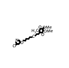 COC1=C(OC)C(=O)C(CCCCCCCCCCOc2cncc(Cl)c2)=C(C)C1=O